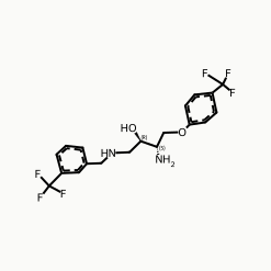 N[C@@H](COc1ccc(C(F)(F)F)cc1)[C@H](O)CNCc1cccc(C(F)(F)F)c1